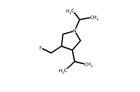 CC(C)C1CN(C(C)C)CC1CF